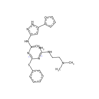 C=C(/N=C(\N=C(/N)NCCN(C)C)Sc1ccccc1)Nc1cc(-c2ccco2)[nH]n1